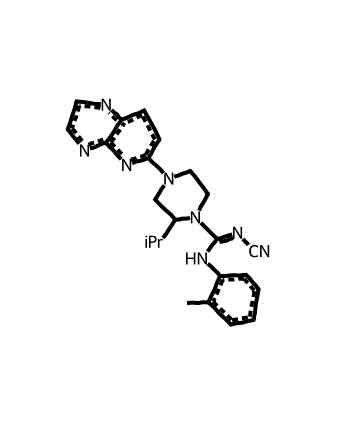 Cc1ccccc1N/C(=N\C#N)N1CCN(c2ccc3nccnc3n2)CC1C(C)C